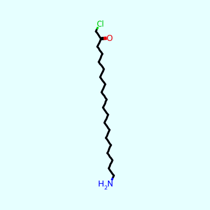 NCCCCCCCCCCCCCCCCCCC(=O)CCl